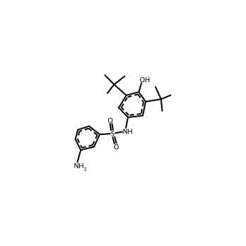 CC(C)(C)c1cc(NS(=O)(=O)c2cccc(N)c2)cc(C(C)(C)C)c1O